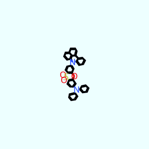 O=S1(=O)c2ccc(N(c3ccccc3)c3ccccc3)cc2Oc2cc(N3c4ccccc4-c4cccc5cccc3c45)ccc21